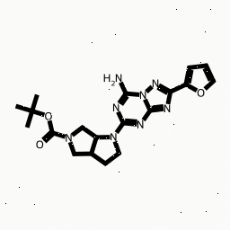 CC(C)(C)OC(=O)N1CC2CCN(c3nc(N)n4nc(-c5ccco5)nc4n3)C2C1